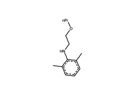 CCCOCCNc1c(C)cccc1C